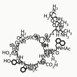 CC(=O)N[C@@H](Cc1cccc2ccccc12)C(=O)N[C@H](C)C(=O)N[C@@H]1CNC2(O)CN(CCN(S(=O)(=O)CCSC[C@H](NC(=O)[C@H](C)N)C(=O)N[C@H](C)C(=O)N[C@@H](CC(N)=O)C(N)=O)C2)S(=O)(=O)CCSC[C@@H](C(N)=O)NC(=O)[C@H](C(C)(C)C)NC(=O)[C@H](CC(=O)O)NC(=O)[C@H](Cc2ccc(O)cc2)NC(=O)[C@H](Cc2ccccc2)NC(=O)[C@H](CC(=O)O)NC(=O)[C@H](CCC(=O)O)NC1=O